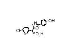 O=S(=O)(O)C(c1ccc(Cl)nc1)c1nnc(-c2ccc(O)cc2)o1